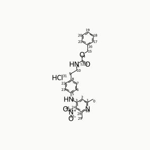 Cc1cc(Nc2ccc(CCNC(=O)OCc3ccccc3)cc2)c([N+](=O)[O-])c(C)n1.Cl